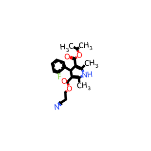 CC1=C(C(=O)OCCC#N)C(c2ccccc2F)C(C(=O)OC(C)C)=C(C)N1